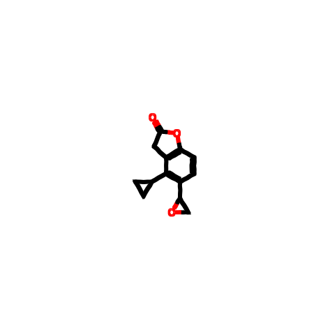 O=C1Cc2c(ccc(C3CO3)c2C2CC2)O1